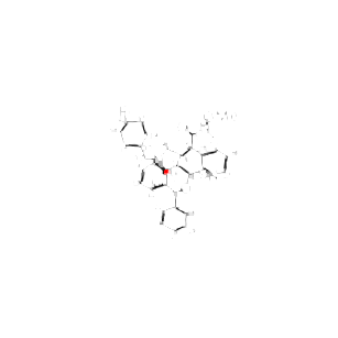 CON(C)C(=O)c1c2c(c(OC(c3ccccc3)c3ccccc3)c3ncccc13)C(=O)N(Cc1ccc(F)cc1)C2